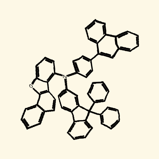 c1ccc(C2(c3ccccc3)c3ccccc3-c3ccc(N(c4ccc(-c5cc6ccccc6c6ccccc56)cc4)c4cccc5oc6c7ccccc7ccc6c45)cc32)cc1